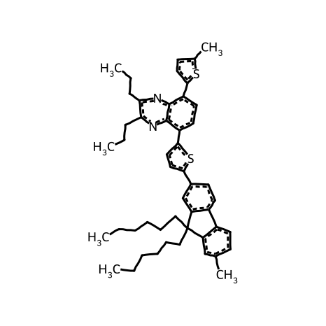 CCCCCCC1(CCCCCC)c2cc(C)ccc2-c2ccc(-c3ccc(-c4ccc(-c5ccc(C)s5)c5nc(CCC)c(CCC)nc45)s3)cc21